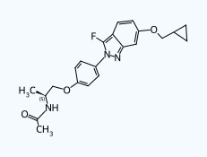 CC(=O)N[C@@H](C)COc1ccc(-n2nc3cc(OCC4CC4)ccc3c2F)cc1